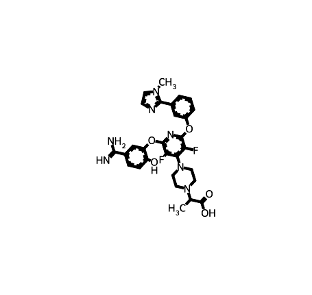 CC(C(=O)O)N1CCN(c2c(F)c(Oc3cccc(-c4nccn4C)c3)nc(Oc3cc(C(=N)N)ccc3O)c2F)CC1